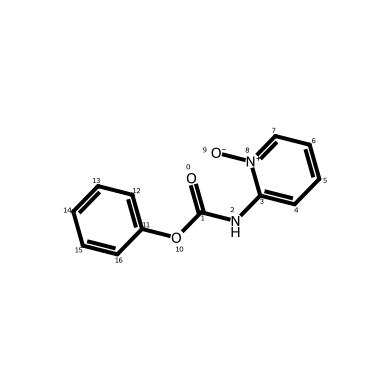 O=C(Nc1cccc[n+]1[O-])Oc1ccccc1